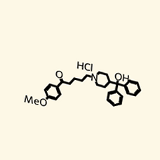 COc1ccc(C(=O)CCCCN2CCC(C(O)(c3ccccc3)c3ccccc3)CC2)cc1.Cl